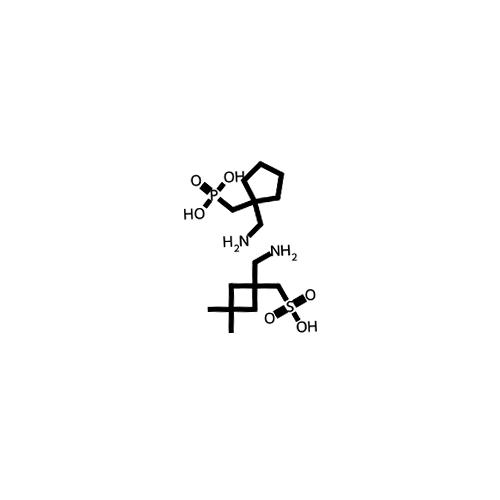 CC1(C)CC(CN)(CS(=O)(=O)O)C1.NCC1(CP(=O)(O)O)CCCC1